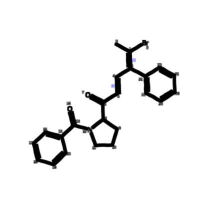 C/C(Br)=C(\C=C\C(=O)C1CCCN1C(=O)c1ccccc1)c1ccccc1